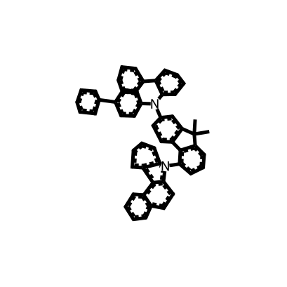 CC1(C)c2cc(N(c3ccc(-c4ccccc4)cc3)c3ccccc3-c3ccccc3)ccc2-c2c(-n3c4ccccc4c4c5ccccc5ccc43)cccc21